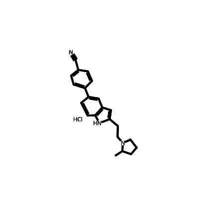 CC1CCCN1CCc1cc2cc(-c3ccc(C#N)cc3)ccc2[nH]1.Cl